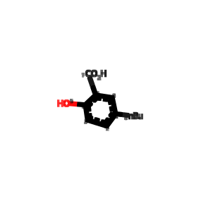 CCCCc1ccc(O)c(C(=O)O)c1